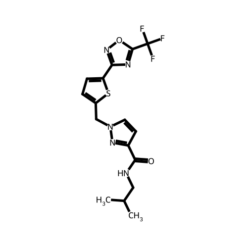 CC(C)CNC(=O)c1ccn(Cc2ccc(-c3noc(C(F)(F)F)n3)s2)n1